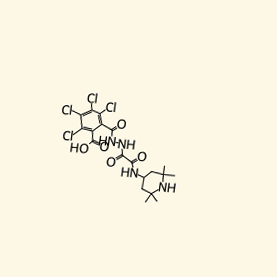 CC1(C)CC(NC(=O)C(=O)NNC(=O)c2c(Cl)c(Cl)c(Cl)c(Cl)c2C(=O)O)CC(C)(C)N1